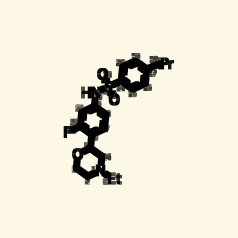 CCN1CCOC(c2ccc(NS(=O)(=O)c3ccc(C(C)C)cc3)cc2F)C1